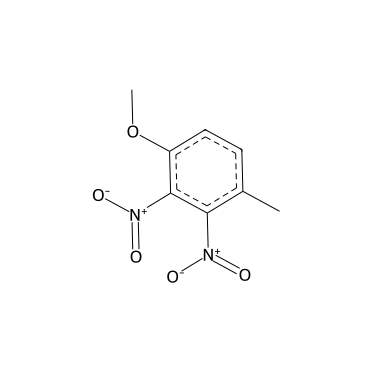 COc1ccc(C)c([N+](=O)[O-])c1[N+](=O)[O-]